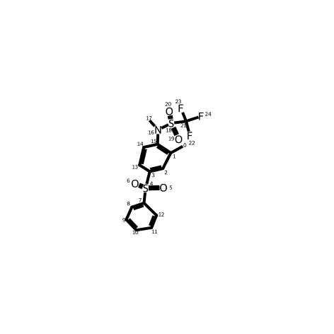 Cc1cc(S(=O)(=O)c2ccccc2)ccc1N(C)S(=O)(=O)C(F)(F)F